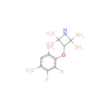 Bc1cc(B)c(OC2C(B)(B)NC2(B)B)c(F)c1F